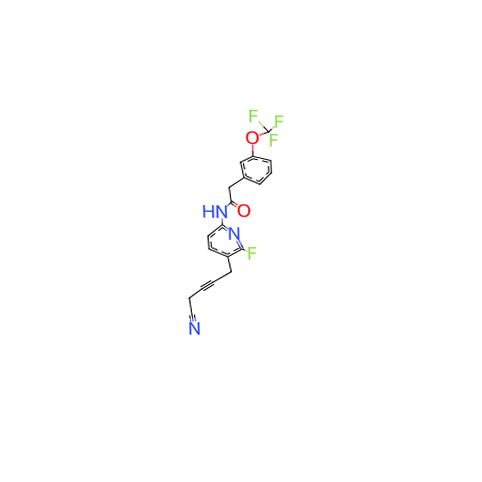 N#CCC#CCc1ccc(NC(=O)Cc2cccc(OC(F)(F)F)c2)nc1F